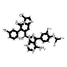 CC[C@@H](c1cc2scc(Cl)n2c(=O)c1-c1cccc(F)c1)n1nc(-c2ccc(OC(F)F)c(F)c2)c2c(N)ncnc21